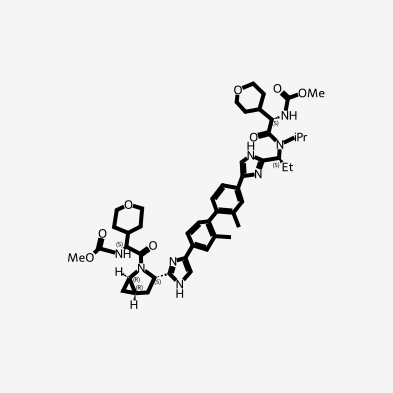 CC[C@@H](c1nc(-c2ccc(-c3ccc(-c4c[nH]c([C@@H]5C[C@H]6C[C@H]6N5C(=O)[C@@H](NC(=O)OC)C5CCOCC5)n4)cc3C)c(C)c2)c[nH]1)N(C(=O)[C@@H](NC(=O)OC)C1CCOCC1)C(C)C